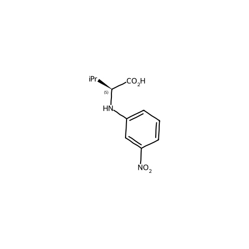 CC(C)[C@H](Nc1cccc([N+](=O)[O-])c1)C(=O)O